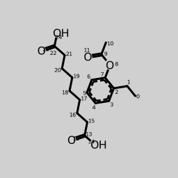 CCc1ccccc1OC(C)=O.O=C(O)CCCCCCCC(=O)O